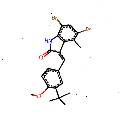 COc1ccc(C=C2C(=O)Nc3c(Br)cc(Br)c(C)c32)cc1C(C)(C)C